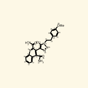 CCc1c(-c2c(C(N)=O)nc3ccccc3c2C(N)=O)nnn1CCc1ccc(OC)cc1